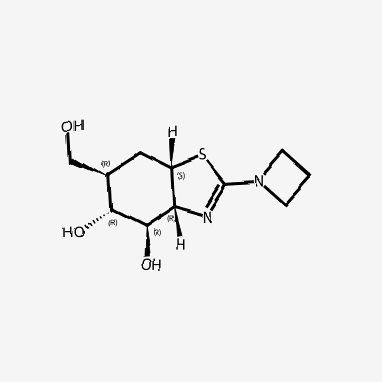 OC[C@H]1C[C@@H]2SC(N3CCC3)=N[C@@H]2[C@@H](O)[C@@H]1O